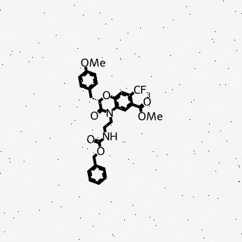 COC(=O)c1cc2c(cc1C(F)(F)F)O[C@@H](Cc1ccc(OC)cc1)C(=O)N2CCNC(=O)OCc1ccccc1